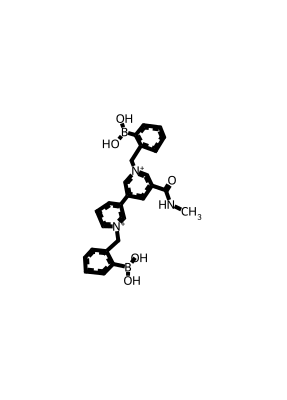 CNC(=O)c1cc(-c2ccc[n+](Cc3ccccc3B(O)O)c2)c[n+](Cc2ccccc2B(O)O)c1